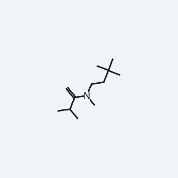 C=C(C(C)C)N(C)CCC(C)(C)C